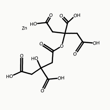 O=C(O)CC(O)(CC(=O)OC(CC(=O)O)(CC(=O)O)C(=O)O)C(=O)O.[Zn]